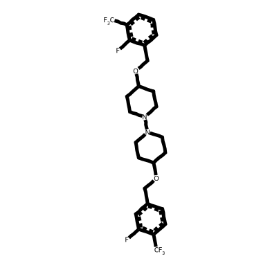 Fc1cc(COC2CCN(N3CCC(OCc4cccc(C(F)(F)F)c4F)CC3)CC2)ccc1C(F)(F)F